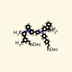 CCCCCCCCCCCCc1ccc(-c2ccc(N(c3ccc(-c4ccc5c(c4)c4ccccc4n5-c4cc(C)cc(-c5cc(C)cc(CCCCCCCCCCCC)c5)c4)cc3)c3ccc4c(c3)C(C)(C)c3ccccc3-4)cc2)cc1